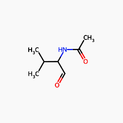 CC(=O)NC(C=O)C(C)C